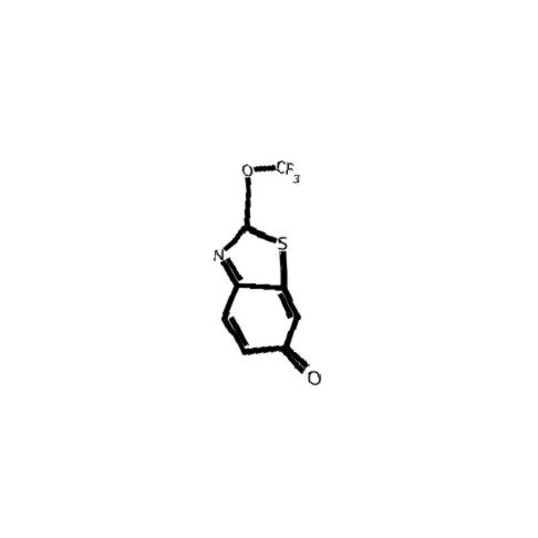 O=C1C=CC2=NC(OC(F)(F)F)SC2=C1